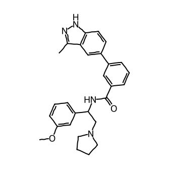 COc1cccc(C(CN2CCCC2)NC(=O)c2cccc(-c3ccc4[nH]nc(C)c4c3)c2)c1